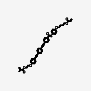 C=CC(=O)OCCCCOc1ccc(SC(=O)c2ccc(C#Cc3ccc(C#Cc4ccc(OCCOC(=O)C(=C)C)cc4)cc3)cc2)cc1